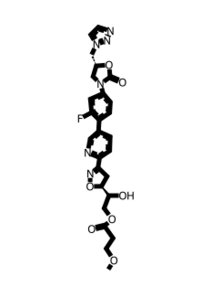 COCCC(=O)OCC(O)[C@@H]1CC(c2ccc(-c3ccc(N4C[C@H](Cn5ccnn5)OC4=O)cc3F)cn2)=NO1